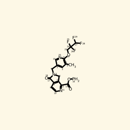 Cc1cc(CN2Cc3c(ccnc3C(=O)OP)C2=O)cnc1OCC(F)(F)C(F)F